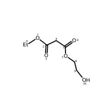 CCOC(=O)CC(=O)OCCO